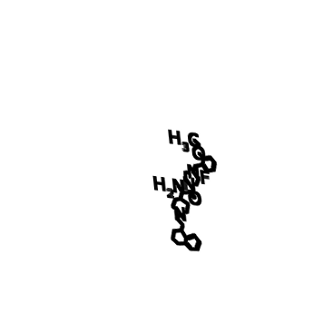 CCOc1cccc(F)c1CN1CCN(C(=O)[C@H](N)C2CCN(CCC3CCCc4ccccc43)CC2)CC1